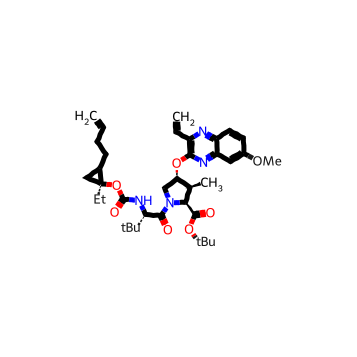 C=CCCC1C[C@]1(CC)OC(=O)N[C@H](C(=O)N1C[C@H](Oc2nc3cc(OC)ccc3nc2C=C)[C@@H](C)[C@H]1C(=O)OC(C)(C)C)C(C)(C)C